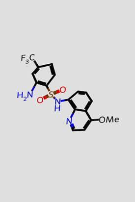 COc1ccnc2c(NS(=O)(=O)c3ccc(C(F)(F)F)cc3N)cccc12